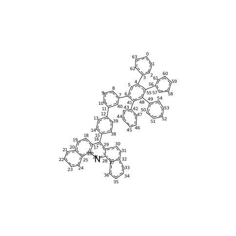 c1ccc(-c2cc(-c3cccc(-c4ccc(-c5c6ccc7ccccc7c6nc6c5ccc5ccccc56)cc4)c3)c(-c3ccccc3)c(-c3ccccc3)c2-c2ccccc2)cc1